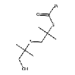 CC(C)C(=O)SC(C)(C)CSC(C)(C)CO